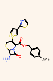 COc1ccc(COC(=O)C2=C([SH]3C=CC(c4nccs4)=C3)CSC3[C@H](N)C(=O)N23)cc1